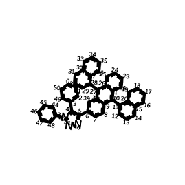 c1ccc(-c2c(-c3ccc4c(-c5cccc6ccccc56)c5ccccc5c(-c5cccc6ccccc56)c4c3)nnn2-c2ccccc2)cc1